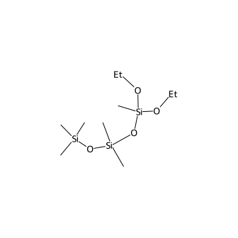 CCO[Si](C)(OCC)O[Si](C)(C)O[Si](C)(C)C